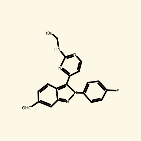 CC(C)(C)CNc1nccc(-c2c3ccc(C=O)cc3nn2-c2ccc(F)cc2)n1